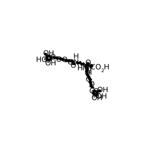 O=C(O)CNC(=O)[C@H](CCCCNC(=O)COCCOCCOCCO[C@@H]1C[C@H](CO)[C@H](O)[C@H](O)C1)NC(=O)COCCOCCOCCO[C@H]1C[C@@H](O)[C@@H](O)[C@@H](CO)O1